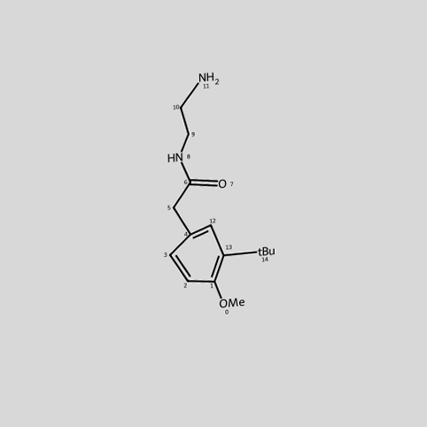 COc1ccc(CC(=O)NCCN)cc1C(C)(C)C